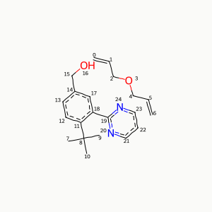 C=CCOCC=C.CC(C)(C)c1ccc(CO)cc1-c1ncccn1